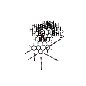 BBB(B)B(B(B)B)C1=C(B(B(B)B)B(B)B)C(B(BB)B(B)B)C(B(B)B(B)B)c2c1c(B)c(C)c(C)c2-c1c(C)c(C)c(C)c2c(-c3c(C)c4c(C)c(C)c(C#CC)c(C#CC#C)c4c4c(C#CC#CC)c(C#CC#CC#C)c(C#CC#CC#CC)c(C#CC#CC#CC#C)c34)c3c(C)c(C)c(C)c(C)c3c(C)c12